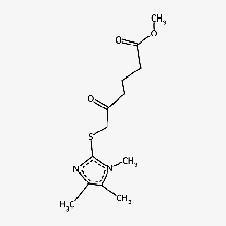 COC(=O)CCCC(=O)CSc1nc(C)c(C)n1C